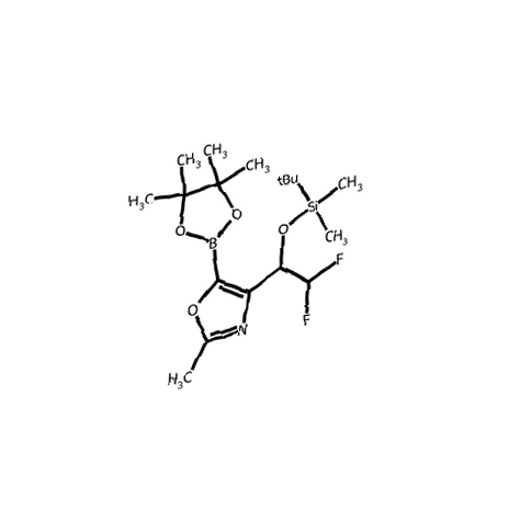 Cc1nc(C(O[Si](C)(C)C(C)(C)C)C(F)F)c(B2OC(C)(C)C(C)(C)O2)o1